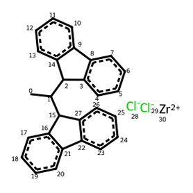 CC(C1c2ccccc2-c2ccccc21)C1c2ccccc2-c2ccccc21.[Cl-].[Cl-].[Zr+2]